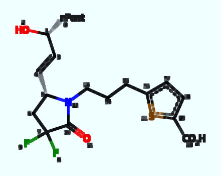 CCCCC[C@@H](O)C=C[C@H]1CC(F)(F)C(=O)N1CCCc1ccc(C(=O)O)s1